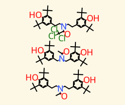 CC(=O)N(CCc1cc(C(C)(C)C)c(O)c(C(C)(C)C)c1)CCc1cc(C(C)(C)C)c(O)c(C(C)(C)C)c1.CC(=O)N(Cc1cc(C(C)(C)C)c(O)c(C(C)(C)C)c1)Cc1cc(C(C)(C)C)c(O)c(C(C)(C)C)c1.CC(C)(C)c1cc(CCN(CCc2cc(C(C)(C)C)c(O)c(C(C)(C)C)c2)C(=O)C(Cl)(Cl)Cl)cc(C(C)(C)C)c1O